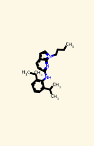 CCCCn1ccc2ccc(Nc3c(C(C)C)cccc3C(C)C)nc21